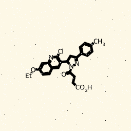 CCOc1ccc2cc(C3CC(c4ccc(C)cc4)=NN3C(=O)CCC(=O)O)c(Cl)nc2c1